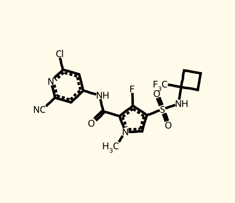 Cn1cc(S(=O)(=O)NC2(C(F)(F)F)CCC2)c(F)c1C(=O)Nc1cc(Cl)nc(C#N)c1